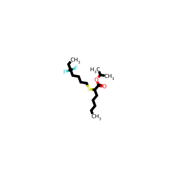 CCCCCC(SCCCCC(F)(F)CC)C(=O)OC(C)C